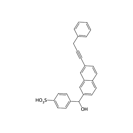 O=S(=O)(O)c1ccc(C(O)c2ccc3ccc(C#CCc4ccccc4)cc3c2)cc1